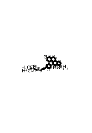 CC(C)(C)OC(=O)COCC#Cc1ccc([C@H]2CC3(C)C(CCC3(C)O)C3CCC4=CC(=O)CCC4=C32)cc1